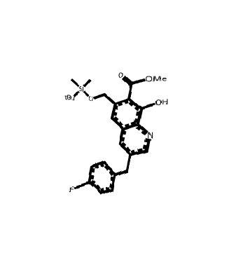 COC(=O)c1c(CO[Si](C)(C)C(C)(C)C)cc2cc(Cc3ccc(F)cc3)cnc2c1O